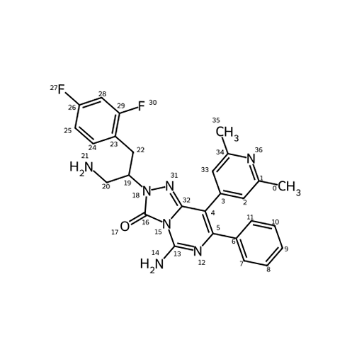 Cc1cc(-c2c(-c3ccccc3)nc(N)n3c(=O)n(C(CN)Cc4ccc(F)cc4F)nc23)cc(C)n1